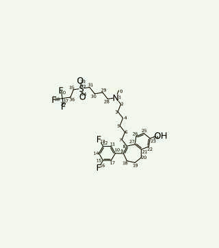 CN(CCCCCCC1=C(c2cc(F)cc(F)c2)CCCc2cc(O)ccc21)CCCCS(=O)(=O)CCC(F)(F)F